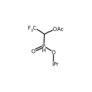 CC(=O)OC([PH](=O)OC(C)C)C(F)(F)F